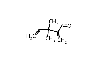 C=CC(C)(C)C(=C)C=O